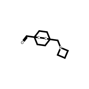 O=CC12CCC(CN3CCC3)(CC1)CC2